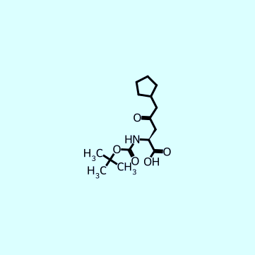 CC(C)(C)OC(=O)N[C@@H](CC(=O)CC1CCCC1)C(=O)O